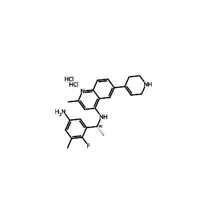 Cc1cc(N[C@H](C)c2cc(N)cc(C)c2F)c2cc(C3=CCNCC3)ccc2n1.Cl.Cl